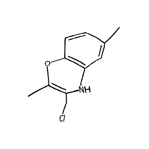 CC1=C(Cl)Nc2cc(C)ccc2O1